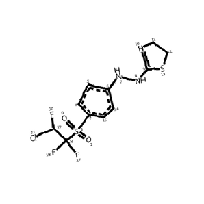 O=S(=O)(c1ccc(NNC2=NCCS2)cc1)C(F)(F)C(F)Cl